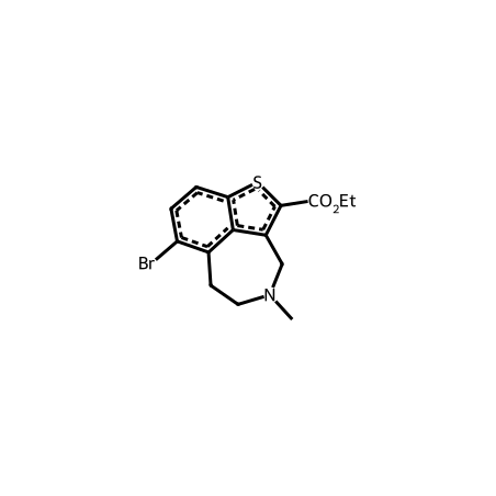 CCOC(=O)c1sc2ccc(Br)c3c2c1CN(C)CC3